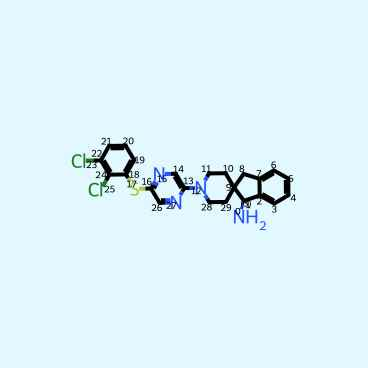 N[C@@H]1c2ccccc2CC12CCN(c1cnc(Sc3cccc(Cl)c3Cl)cn1)CC2